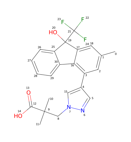 Cc1cc(-c2cnn(CC(C)(C)C(=O)O)c2)c2c(c1)C(O)(C(F)(F)F)c1ccccc1-2